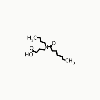 CCCCCCC(=O)N(CCCC)CCCC(=O)O